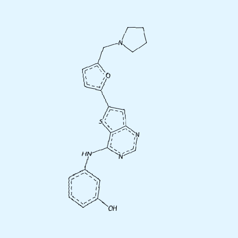 Oc1cccc(Nc2ncnc3cc(-c4ccc(CN5CCCC5)o4)sc23)c1